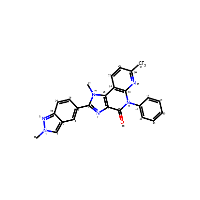 Cn1cc2cc(-c3nc4c(=O)n(-c5ccccc5)c5nc(C(F)(F)F)ccc5c4n3C)ccc2n1